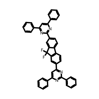 FC1(F)c2cc(-c3cc(-c4ccccc4)nc(-c4ccccc4)n3)ccc2-c2ccc(-c3nc(-c4ccccc4)cc(-c4ccccc4)n3)cc21